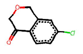 O=C1COCc2cc(Cl)ccc21